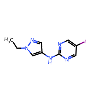 CCn1cc(Nc2ncc(I)cn2)cn1